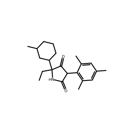 CCC1(C2CCCC(C)C2)NC(=O)C(c2c(C)cc(C)cc2C)C1=O